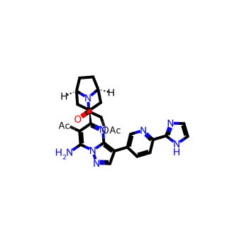 CC(=O)OCC(=O)N1[C@@H]2CC[C@H]1C[C@@H](c1nc3c(-c4ccc(-c5ncc[nH]5)nc4)cnn3c(N)c1C(C)=O)C2